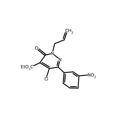 C=CCn1nc(-c2cccc([N+](=O)[O-])c2)c(Cl)c(C(=O)OCC)c1=O